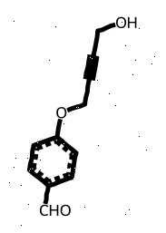 O=Cc1ccc(OCC#CCO)cc1